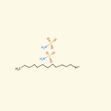 CCCCCCCCCCC[CH2][In+2].NS(=O)(=O)[O-].NS(=O)(=O)[O-]